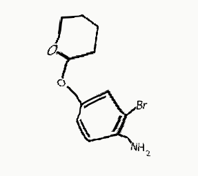 Nc1ccc(OC2CCCCO2)cc1Br